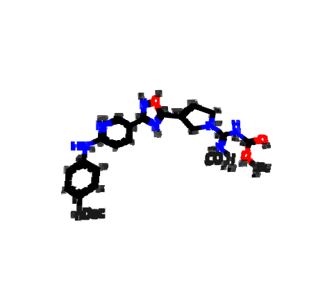 CCCCCCCCCCc1ccc(Nc2ccc(-c3noc(C4CCN(C(=NC(=O)O)NC(=O)OC(C)(C)C)C4)n3)cn2)cc1